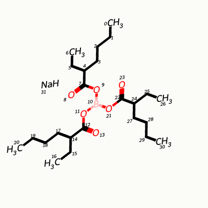 CCCCC(CC)C(=O)OB(OC(=O)C(CC)CCCC)OC(=O)C(CC)CCCC.[NaH]